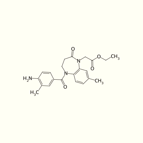 CCOC(=O)CN1C(=O)CCN(C(=O)c2ccc(N)c(C)c2)c2ccc(C)cc21